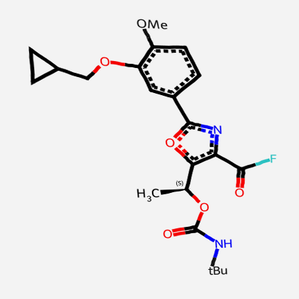 COc1ccc(-c2nc(C(=O)F)c([C@H](C)OC(=O)NC(C)(C)C)o2)cc1OCC1CC1